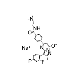 Cc1nn2c([O-])cc(-c3ccc(C(=O)NCCN(C)C)cc3)nc2c1-c1ccc(F)cc1F.[Na+]